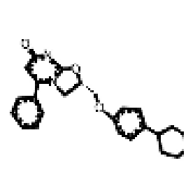 O=c1cc(-c2ccccc2)n2c(n1)O[C@H](COc1ccc(C3CCCCC3)cc1)C2